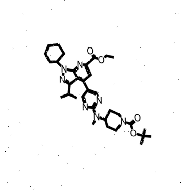 CCOC(=O)c1cc(-c2cnc(N(C)C3CCN(C(=O)OC(C)(C)C)CC3)nc2)c2c(C(C)C)nn(C3CCCCC3)c2n1